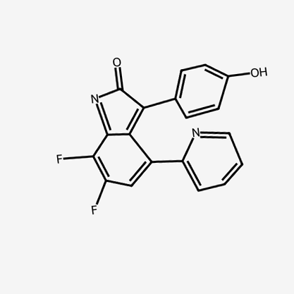 O=C1N=c2c(F)c(F)cc(-c3ccccn3)c2=C1c1ccc(O)cc1